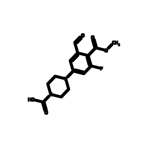 COC(=O)c1c(F)cc(N2CCN(C(=O)O)CC2)cc1C=O